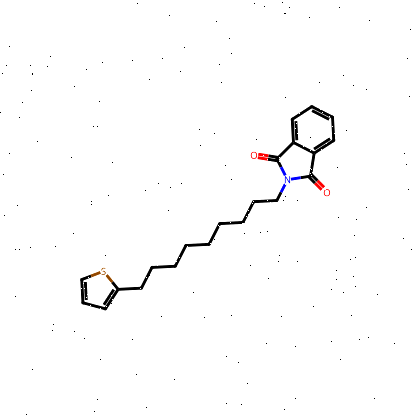 O=C1c2ccccc2C(=O)N1CCCCCCCCCc1cccs1